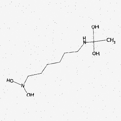 CC(O)(O)NCCCCCCN(O)O